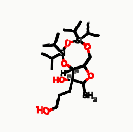 BC1OC2CO[Si](C(C)C)(C(C)C)O[Si](C(C)C)(C(C)C)O[C@H]2[C@]1(O)CCCO